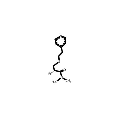 CC(C)[C@H](CSCCc1ccncc1)C(=O)N(C)C